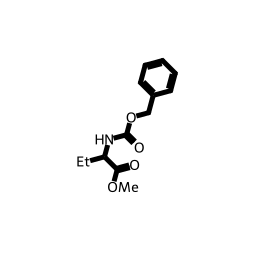 CCC(NC(=O)OCc1ccccc1)C(=O)OC